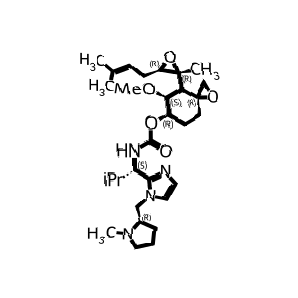 CO[C@H]1C([C@@]2(C)O[C@@H]2CC=C(C)C)[C@]2(CC[C@H]1OC(=O)N[C@H](c1nccn1C[C@H]1CCCN1C)C(C)C)CO2